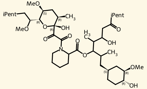 CCCC(C)CC(OC)[C@H]1O[C@@](O)(C(=O)C(=O)N2CCCCC2C(=O)OC(C(C)C[C@@H]2CC[C@@H](O)[C@H](OC)C2)C(C)C(O)CC(=O)C(C)CCC)[C@H](C)C[C@@H]1OC